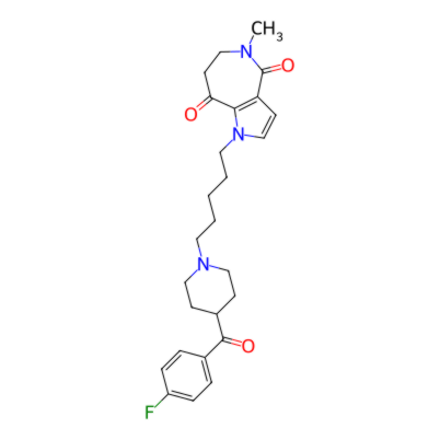 CN1CCC(=O)c2c(ccn2CCCCCN2CCC(C(=O)c3ccc(F)cc3)CC2)C1=O